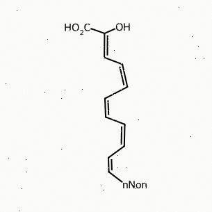 CCCCCCCCC\C=C/C=C\C=C/C=C\C=C(/O)C(=O)O